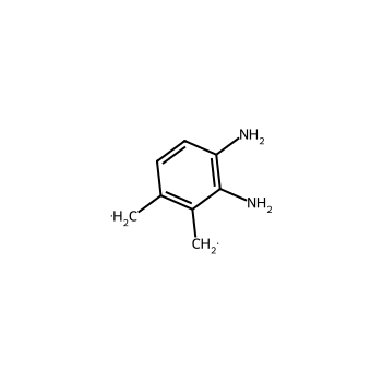 [CH2]c1ccc(N)c(N)c1[CH2]